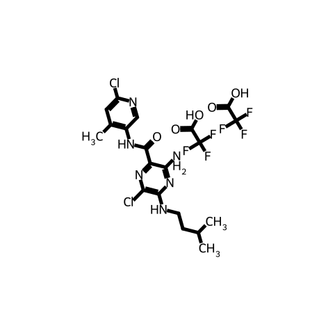 Cc1cc(Cl)ncc1NC(=O)c1nc(Cl)c(NCCC(C)C)nc1N.O=C(O)C(F)(F)F.O=C(O)C(F)(F)F